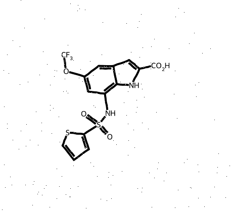 O=C(O)c1cc2cc(OC(F)(F)F)cc(NS(=O)(=O)c3cccs3)c2[nH]1